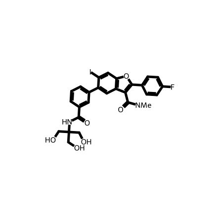 CNC(=O)c1c(-c2ccc(F)cc2)oc2cc(I)c(-c3cccc(C(=O)NC(CO)(CO)CO)c3)cc12